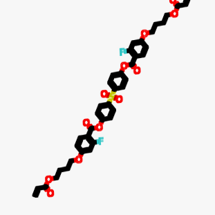 C=CC(=O)OCCCCOc1ccc(C(=O)Oc2ccc(S(=O)(=O)c3ccc(OC(=O)c4ccc(OCCCCOC(=O)C=C)cc4F)cc3)cc2)c(F)c1